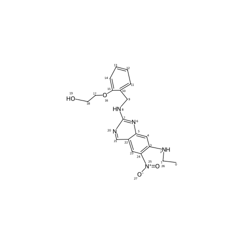 CCNc1cc2nc(NCc3ccccc3OCCO)ncc2cc1[N+](=O)[O-]